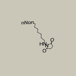 CCCCCCCCCCCCCCCCNN1C(=O)CCC1=O